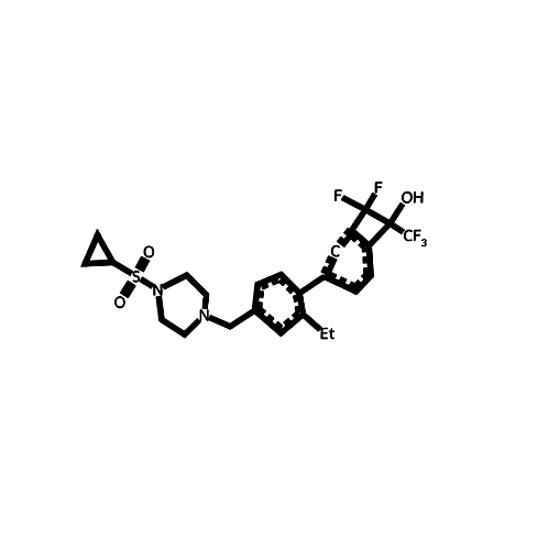 CCc1cc(CN2CCN(S(=O)(=O)C3CC3)CC2)ccc1-c1ccc2c(c1)C(F)(F)C2(O)C(F)(F)F